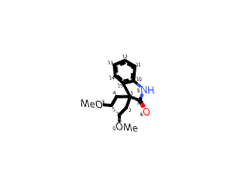 COCCC1(CCOC)C(=O)Nc2ccccc21